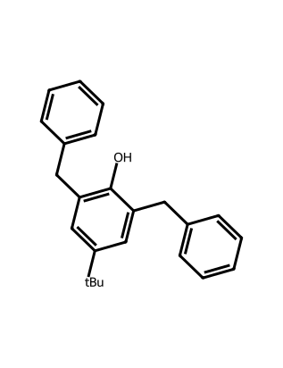 CC(C)(C)c1cc(Cc2ccccc2)c(O)c(Cc2ccccc2)c1